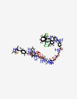 Cc1ncsc1-c1ccc(CNC(=O)[C@@H]2CCCN2C(=O)[C@@H](NC(=O)COCCNCCn2cc(COCCOCCNC(=O)c3ccc(Nc4ncc5c(n4)-c4ccc(Cl)cc4C(c4c(F)cccc4F)=NC5)cc3)nn2)C(C)(C)C)cc1